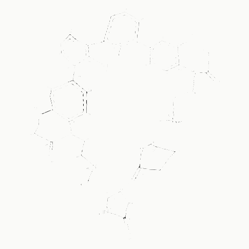 O=C1CC[C@@H](CNCCN2C(=O)COc3cc(-c4cccc(-c5cccc(-c6ccc7c(c6)OCC(=O)N7CCNC[C@@H]6CCC(=O)N6)c5Cl)c4Cl)ccc32)N1